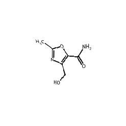 Cc1nc(CO)c(C(N)=O)o1